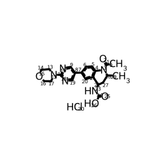 CC(=O)N1c2ccc(-c3cnc(N4CCOCC4)nc3)cc2C(NC(=O)O)CC1C.Cl